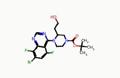 CC(C)(C)OC(=O)N1CCN(c2ncnc3c(F)c(Br)cc(F)c23)C(CCO)C1